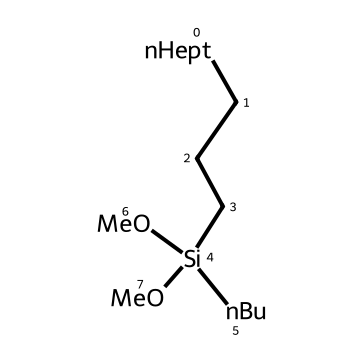 CCCCCCCCCC[Si](CCCC)(OC)OC